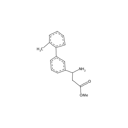 COC(=O)CC(N)c1cccc(-c2ccccc2C)c1